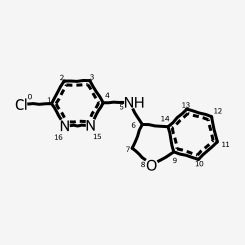 Clc1ccc(NC2COc3ccccc32)nn1